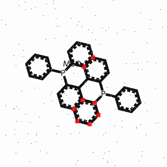 COc1cccc(P(c2ccccc2)c2ccccc2)c1-c1c(P(c2ccccc2)c2ccccc2)ccc2ccccc12